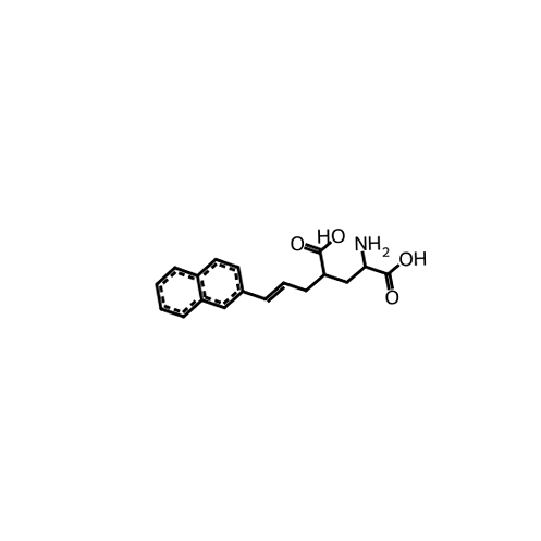 NC(CC(C/C=C/c1ccc2ccccc2c1)C(=O)O)C(=O)O